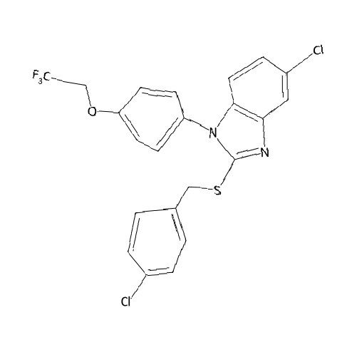 FC(F)(F)COc1ccc(-n2c(SCc3ccc(Cl)cc3)nc3cc(Cl)ccc32)cc1